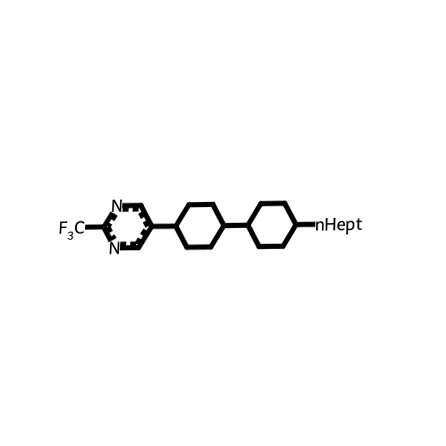 CCCCCCCC1CCC(C2CCC(c3cnc(C(F)(F)F)nc3)CC2)CC1